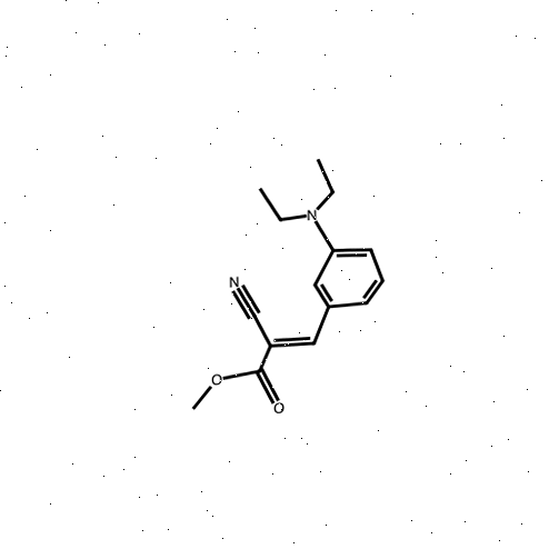 CCN(CC)c1cccc(/C=C(\C#N)C(=O)OC)c1